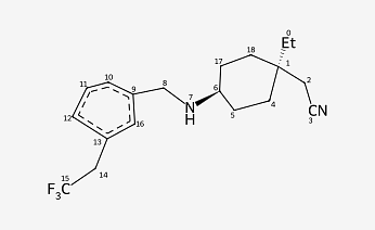 CC[C@]1(CC#N)CC[C@@H](NCc2cccc(CC(F)(F)F)c2)CC1